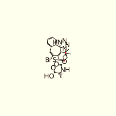 Cc1ccc2sc3c(Br)c2c1C1(NN=NN1C(C)COC(=O)N[C@@H](C)C(=O)O)c1ccccc1-3